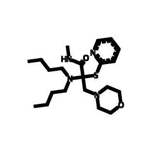 CCCCN(CCCC)C(CN1CCOCC1)(Sc1ccccn1)C(=O)NC